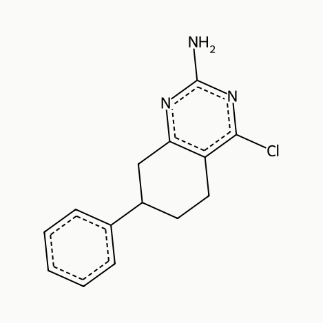 Nc1nc(Cl)c2c(n1)CC(c1ccccc1)CC2